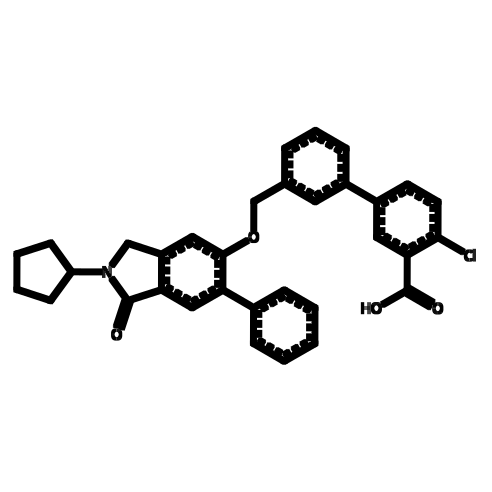 O=C(O)c1cc(-c2cccc(COc3cc4c(cc3-c3ccccc3)C(=O)N(C3CCCC3)C4)c2)ccc1Cl